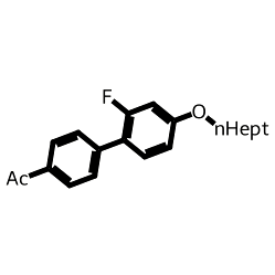 CCCCCCCOc1ccc(-c2ccc(C(C)=O)cc2)c(F)c1